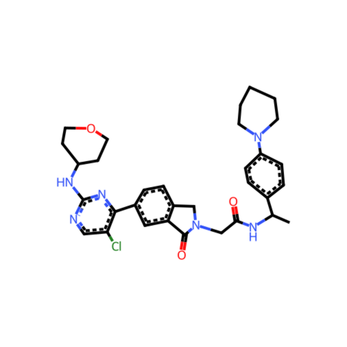 CC(NC(=O)CN1Cc2ccc(-c3nc(NC4CCOCC4)ncc3Cl)cc2C1=O)c1ccc(N2CCCCC2)cc1